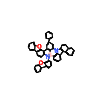 c1ccc(-c2cc3c4c(c2)-n2c5ccc6ccccc6c5c5cccc(c52)B4N(c2cccc4c2oc2ccccc24)c2ccc4c(oc5ccccc54)c2-3)cc1